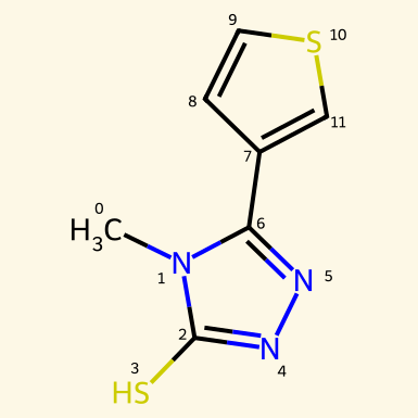 Cn1c(S)nnc1-c1ccsc1